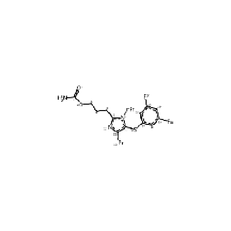 CCCn1c(CCCOC(N)=O)nc(C(C)C)c1Sc1cc(F)cc(F)c1